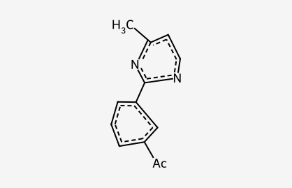 CC(=O)c1cccc(-c2nccc(C)n2)c1